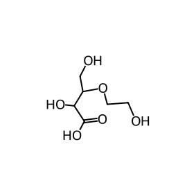 O=C(O)C(O)C(CO)OCCO